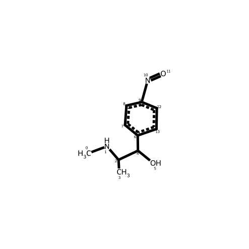 CNC(C)C(O)c1ccc(N=O)cc1